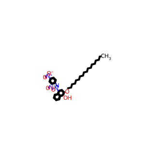 CCCCCCCCCCCCCCCCCCOc1cc(N=Nc2ccc([N+](=O)[O-])cc2[N+](=O)[O-])c2ccccc2c1O